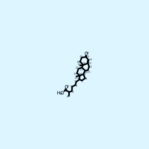 CC(CCCCC1CCC2C3CCC4=CC(=O)CCC4(C)C3CCC12C)C(=O)O